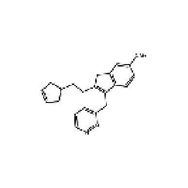 COc1ccc2c(c1)CC(CCN1CC=CC1)=C2Cc1cccnn1